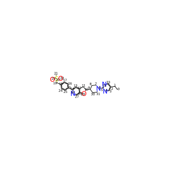 CCc1cnc(N2CCC(C3Cc4cc(-c5ccc(CS(C)(=O)=O)cc5)ncc4O3)CC2)nc1